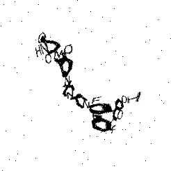 O=C1CCC(N2Cc3cc(N4CC5(CCN(CC6CCN(c7ccc([C@H]8c9ccc(O)cc9OC[C@H]8c8c(F)cccc8F)cc7F)CC6)CC5)C4)ccc3C2=O)C(=O)N1